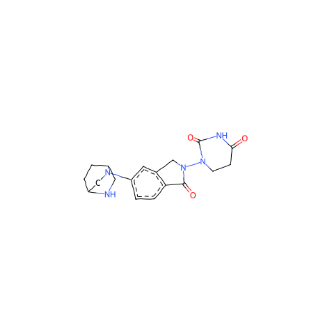 O=C1CCN(N2Cc3cc(N4CC5CCC4CN5)ccc3C2=O)C(=O)N1